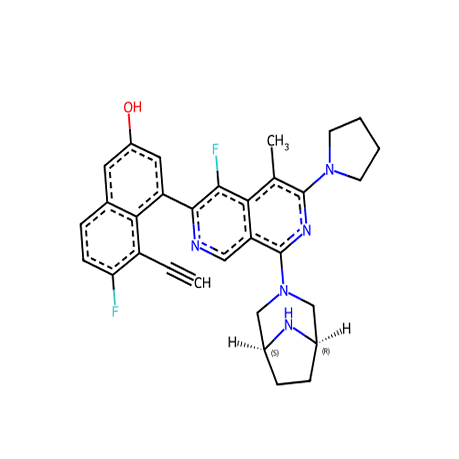 C#Cc1c(F)ccc2cc(O)cc(-c3ncc4c(N5C[C@H]6CC[C@@H](C5)N6)nc(N5CCCC5)c(C)c4c3F)c12